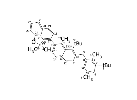 CC1=C(C(C)(C)C)CC(C)C=C1Cc1ccc2ccc(-c3ccc4cccc5c4c3C(C)(C)O5)c(C)c2c1C(C)(C)C